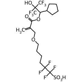 C=C(COCCCCC(F)(F)C(F)(F)S(=O)(=O)O)C(=O)OC(C1CCCC1)C(O)(C(F)(F)F)C(F)(F)F